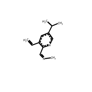 C=Cc1cc(C(C)C)cnc1/C=N\C